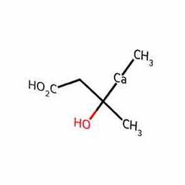 [CH3][Ca][C](C)(O)CC(=O)O